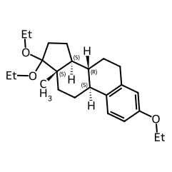 CCOc1ccc2c(c1)CC[C@@H]1[C@@H]2CC[C@@]2(C)[C@H]1CCC2(OCC)OCC